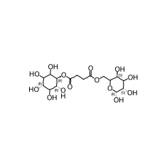 O=C(CCC(=O)O[C@@H]1C(O)C(O)[C@@H](O)C(O)[C@H]1O)OCC1O[C@@H](O)[C@@H](O)C(O)[C@@H]1O